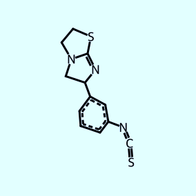 S=C=Nc1cccc(C2CN3CCSC3=N2)c1